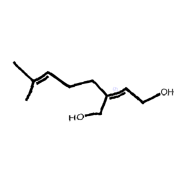 CC(C)=CCC/C(=C/CO)CO